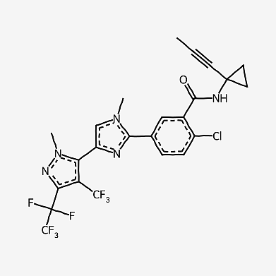 CC#CC1(NC(=O)c2cc(-c3nc(-c4c(C(F)(F)F)c(C(F)(F)C(F)(F)F)nn4C)cn3C)ccc2Cl)CC1